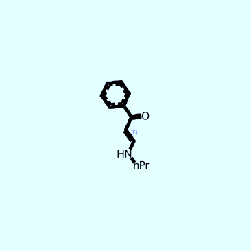 CCCN/C=C/C(=O)c1ccccc1